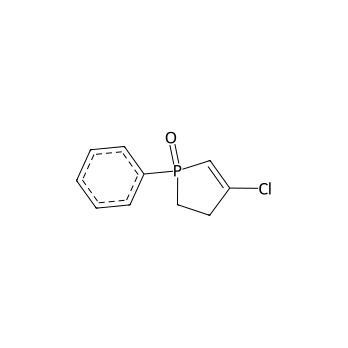 O=P1(c2ccccc2)C=C(Cl)CC1